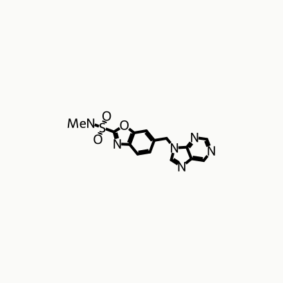 CNS(=O)(=O)c1nc2ccc(Cn3cnc4cncnc43)cc2o1